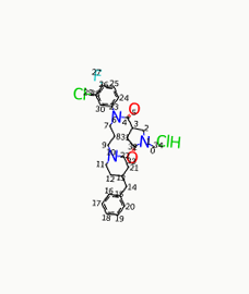 CN1CC(C(=O)N(CCCN2CCC(Cc3ccccc3)CC2)c2ccc(F)c(Cl)c2)CC1=O.Cl